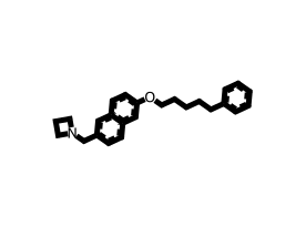 c1ccc(CCCCCOc2ccc3cc(CN4CCC4)ccc3c2)cc1